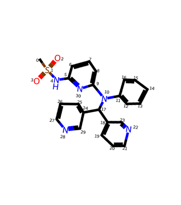 CS(=O)(=O)Nc1cccc(N(c2ccccc2)C(c2cccnc2)c2cccnc2)n1